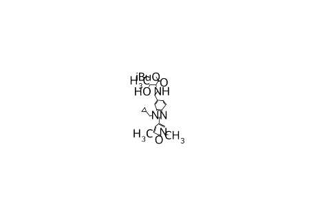 Cc1cc(-c2nc3ccc(CNC(C(=O)OCC(C)C)C(C)O)cc3n2CC2CC2)cn(C)c1=O